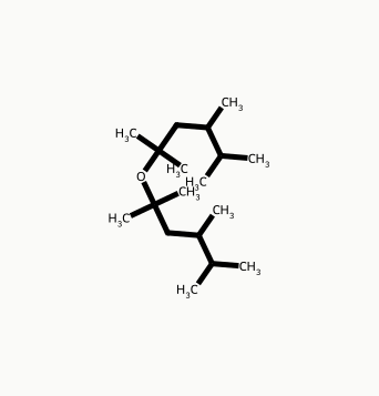 CC(C)C(C)CC(C)(C)OC(C)(C)CC(C)C(C)C